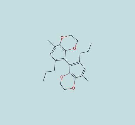 CCCc1cc(C)c2c(c1-c1c(CCC)cc(C)c3c1OCCO3)OCCO2